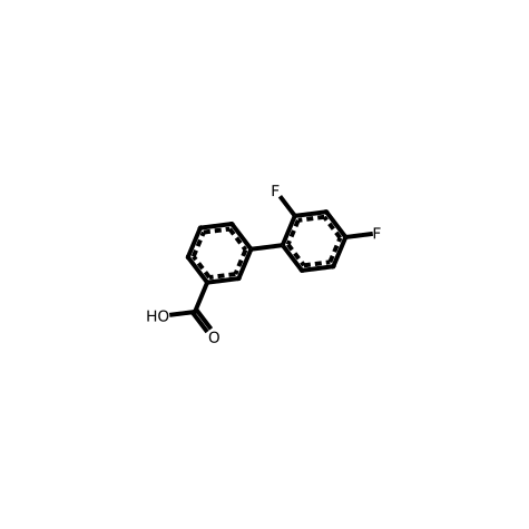 O=C(O)c1cccc(-c2ccc(F)cc2F)c1